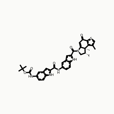 Cc1csc2c1[C@]1(C)C(=CC2=O)N(C(=O)c2cc3cc(NC(=O)c4cc5cc(NC(=O)OC(C)(C)C)ccc5[nH]4)ccc3[nH]2)C[C@H]1I